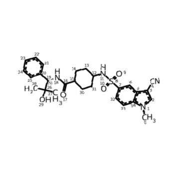 Cn1cc(C#N)c2cc(S(=O)(=O)NC3CCC(C(=O)N[C@@H](c4ccccc4)C(C)(C)O)CC3)ccc21